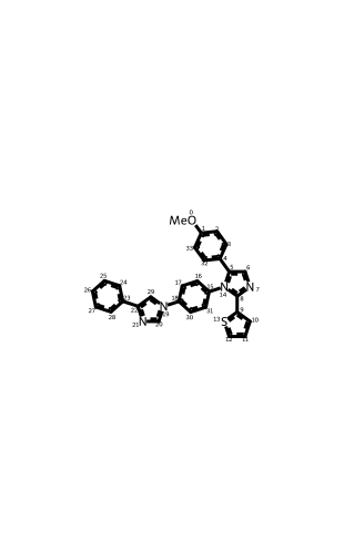 COc1ccc(-c2cnc(-c3cccs3)n2-c2ccc(-n3cnc(-c4ccccc4)c3)cc2)cc1